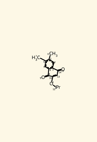 Cc1cc2c(cc1C)C(=O)C(OC(C)C)=CC2=O